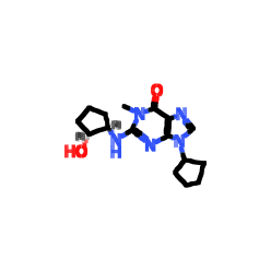 Cn1c(N[C@@H]2CCC[C@H]2O)nc2c(ncn2C2CCCC2)c1=O